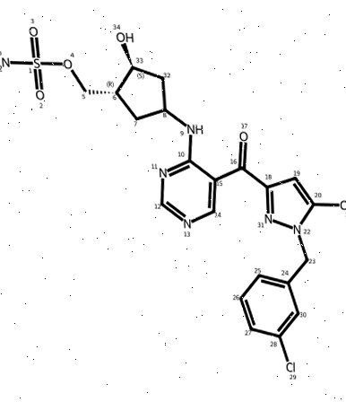 NS(=O)(=O)OC[C@H]1CC(Nc2ncncc2C(=O)c2cc(C(F)(F)F)n(Cc3cccc(Cl)c3)n2)C[C@@H]1O